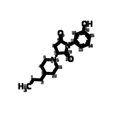 CCCC1CCN([C@@H]2CC(=O)N(c3cccc(O)c3)C2=O)CC1